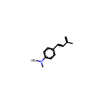 C=C(C)/C=C/c1ccc(N(C)CCCC)cc1